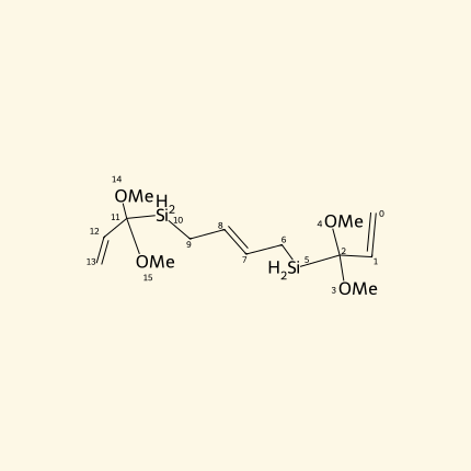 C=CC(OC)(OC)[SiH2]CC=CC[SiH2]C(C=C)(OC)OC